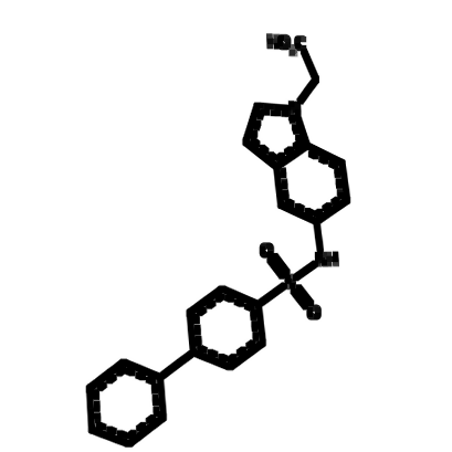 O=C(O)Cn1ccc2cc(NS(=O)(=O)c3ccc(-c4ccccc4)cc3)ccc21